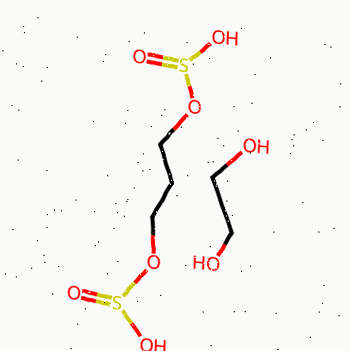 O=S(O)OCCCOS(=O)O.OCCO